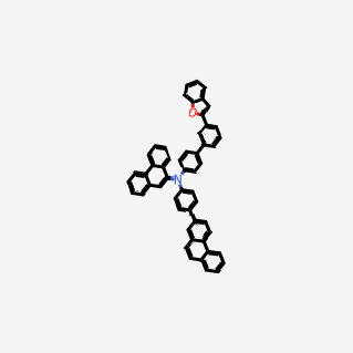 c1cc(-c2ccc(N(c3ccc(-c4ccc5c(ccc6ccccc65)c4)cc3)c3cc4ccccc4c4ccccc34)cc2)cc(-c2cc3ccccc3o2)c1